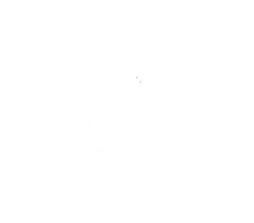 N#CC1CSC(=O)C1